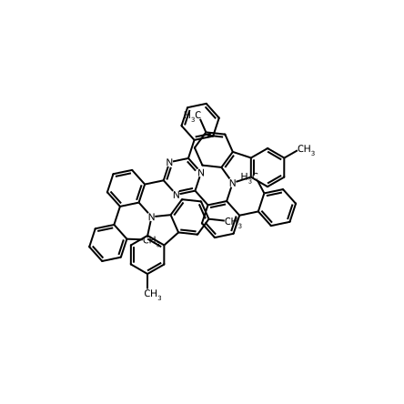 CC1=Cc2c(n(-c3c(-c4nc(-c5ccccc5)nc(-c5cccc(-c6ccccc6C)c5-n5c6ccc(C)cc6c6cc(C)ccc65)n4)cccc3-c3ccccc3C)c3ccc(C)cc23)CC1